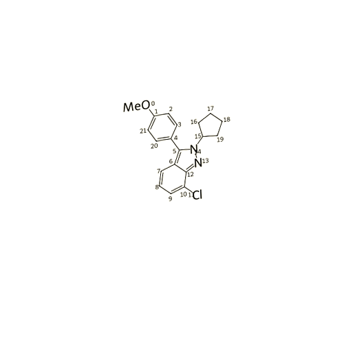 COc1ccc(-c2c3cccc(Cl)c3nn2C2CCCC2)cc1